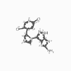 Nc1nc2[nH]nc(-n3cncc3-c3cc(Cl)ncc3Cl)c2s1